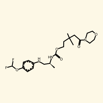 C[C@@H](CNc1ccc(OC(F)F)cc1)NC(=O)OCCC(C)(C)CC(=O)N1CCOCC1